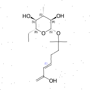 C=C(O)/C=C/CCC(C)(C)O[C@@H]1O[C@H](CC)[C@@H](O)[C@H](C)[C@H]1O